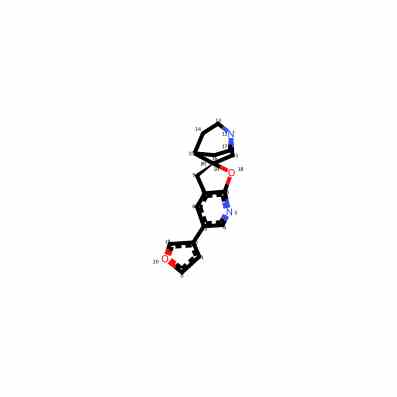 c1cc(-c2cnc3c(c2)C[C@@]2(CN4CCC2CC4)O3)co1